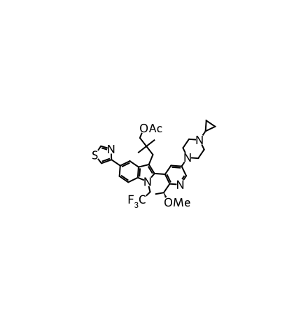 CO[C@@H](C)c1ncc(N2CCN(C3CC3)CC2)cc1-c1c(CC(C)(C)COC(C)=O)c2cc(-c3cscn3)ccc2n1CC(F)(F)F